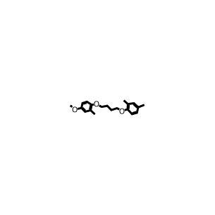 COc1ccc(OCCCCOc2ccc(C)cc2C)c(C)c1